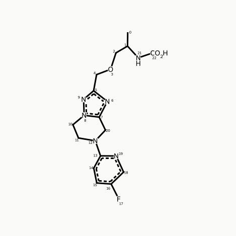 CC(COCc1nc2n(n1)CCN(c1ccc(F)cn1)C2)NC(=O)O